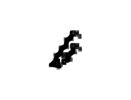 CCCCCCCC1=CC1.CCNCC